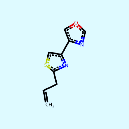 C=CCc1nc(-c2cocn2)cs1